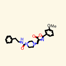 COc1cccc(C2=N/C(=C/N3CCN(C(=O)NCCc4ccccc4)CC3)C(=O)O2)c1